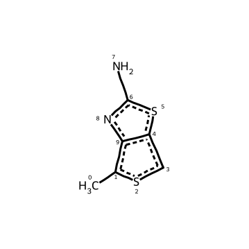 Cc1scc2sc(N)nc12